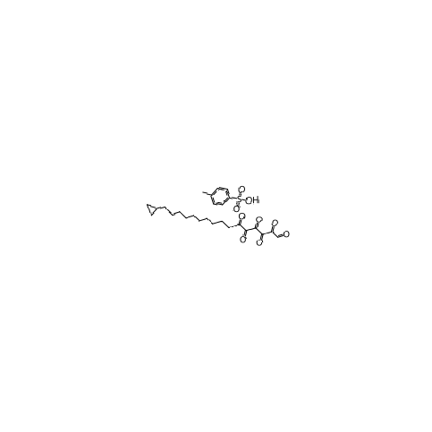 Cc1ccc(S(=O)(=O)O)cc1.O=CC(=O)C(=O)C(=O)C(=O)C(=O)CCCCCCCCCCC1CC1